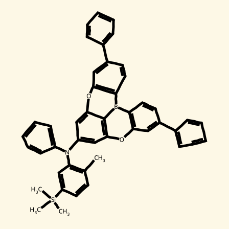 Cc1ccc([Si](C)(C)C)cc1N(c1ccccc1)c1cc2c3c(c1)Oc1cc(-c4ccccc4)ccc1B3c1ccc(-c3ccccc3)cc1O2